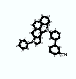 N#Cc1cccc(-c2cccc(-n3c4cccc5ccc6cc7c(ccn7-c7ccccc7)c3c6c54)c2)c1